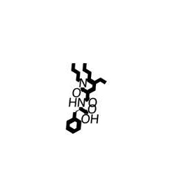 CCCCn1c(CCC)c(CC)cc(C(=O)N[C@@H](Cc2ccccc2)C(=O)O)c1=O